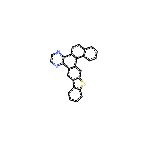 c1ccc2c(c1)ccc1c3nccnc3c3cc4c(cc3c21)sc1ccccc14